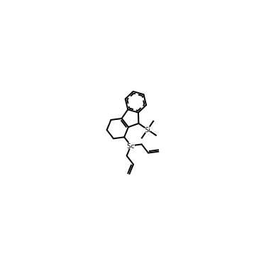 C=C[CH2][Sc]([CH2]C=C)[CH]1CCCC2=C1C([Si](C)(C)C)c1ccccc12